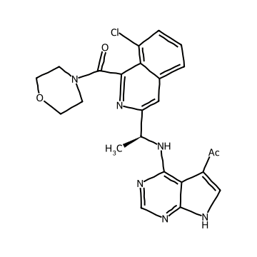 CC(=O)c1c[nH]c2ncnc(N[C@@H](C)c3cc4cccc(Cl)c4c(C(=O)N4CCOCC4)n3)c12